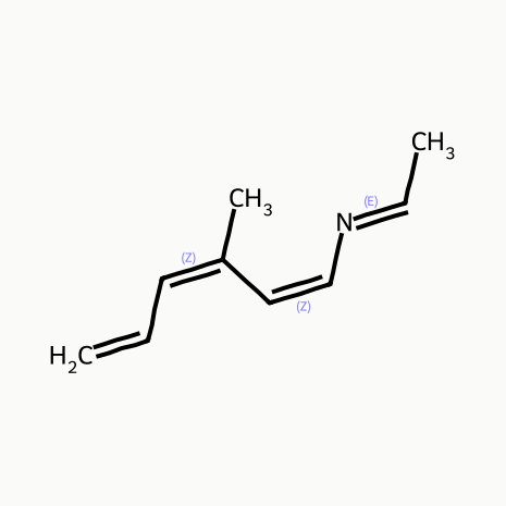 C=C\C=C(C)/C=C\N=C\C